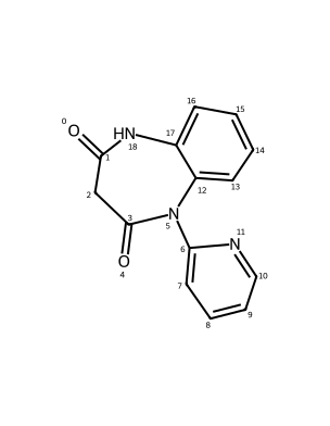 O=C1CC(=O)N(c2ccccn2)c2ccccc2N1